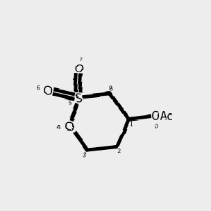 CC(=O)OC1CCOS(=O)(=O)C1